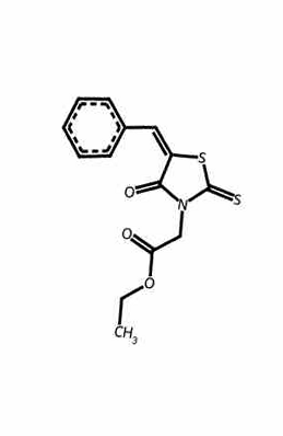 CCOC(=O)CN1C(=O)/C(=C\c2ccccc2)SC1=S